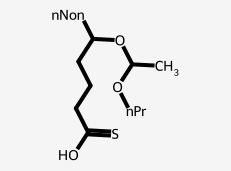 CCCCCCCCCC(CCCC(O)=S)OC(C)OCCC